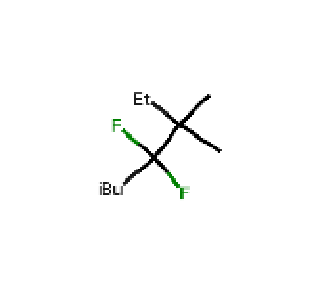 CCC(C)C(F)(F)C(C)(C)CC